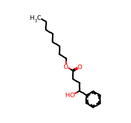 CCCCCCCCOC(=O)CCC(O)c1ccccc1